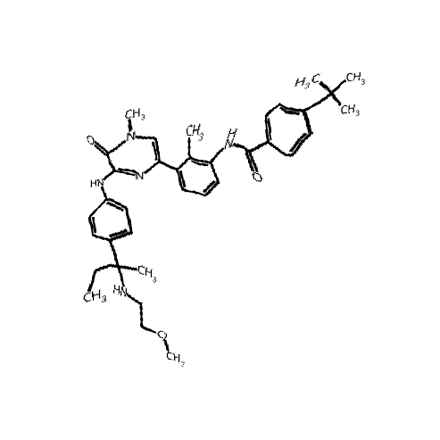 CCC(C)(NCCOC)c1ccc(Nc2nc(-c3cccc(NC(=O)c4ccc(C(C)(C)C)cc4)c3C)cn(C)c2=O)cc1